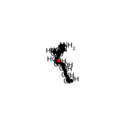 CC(O)C(C)C(=O)CCNC(=O)CCNC(=O)C(O)C(C)(C)COP(=O)(O)OP(=O)(O)OCC1OC(n2cnc3c(N)ncnc32)C(O)C1OP(=O)(O)O